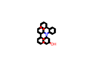 Oc1cccc(N(c2ccccc2-c2ccccc2)c2ccccc2-c2ccccc2)c1